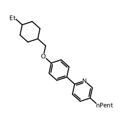 CCCCCc1ccc(-c2ccc(OCC3CCC(CC)CC3)cc2)nc1